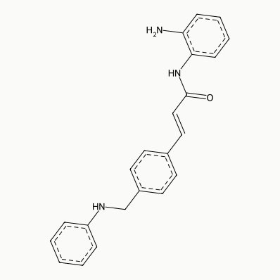 Nc1ccccc1NC(=O)C=Cc1ccc(CNc2ccccc2)cc1